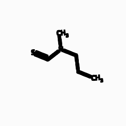 CCCN(C)C=S